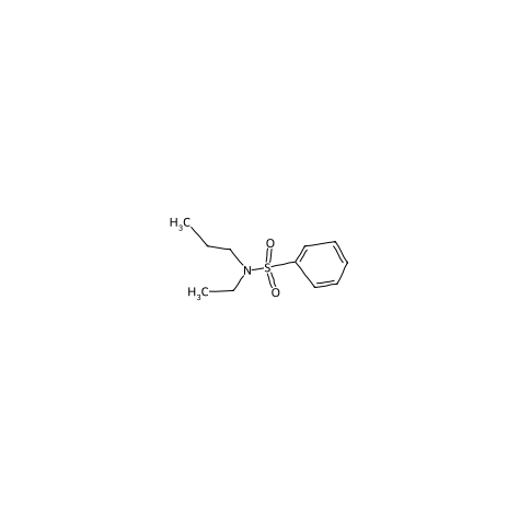 CCCN(CC)S(=O)(=O)c1ccccc1